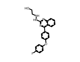 OCCNNc1nc(-c2ccc(Oc3ccc(F)cc3)cc2)c2ccccc2n1